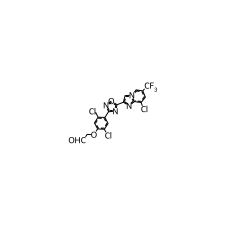 O=CCOc1cc(Cl)c(-c2noc(-c3cn4cc(C(F)(F)F)cc(Cl)c4n3)n2)cc1Cl